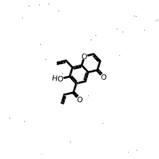 C=CC(=O)c1cc2c(=O)ccoc2c(C=C)c1O